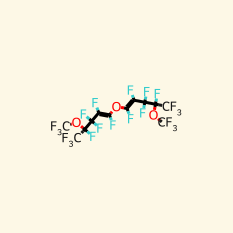 FC(OC(F)=C(F)C(F)(F)C(F)(OC(F)(F)F)C(F)(F)F)=C(F)C(F)(F)C(F)(OC(F)(F)F)C(F)(F)F